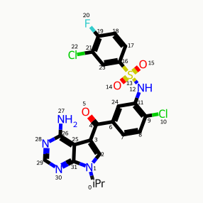 CC(C)n1cc(C(=O)c2ccc(Cl)c(NS(=O)(=O)c3ccc(F)c(Cl)c3)c2)c2c(N)ncnc21